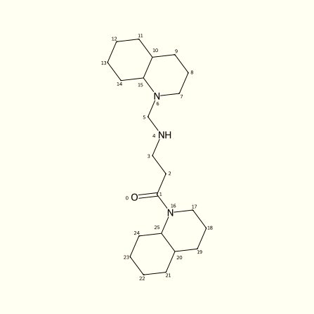 O=C(CCNCN1CCCC2CCCCC21)N1CCCC2CCCCC21